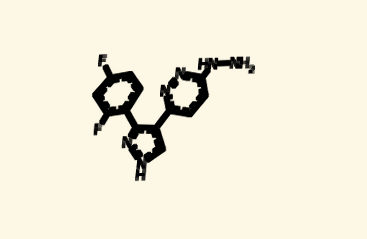 NNc1ccc(-c2c[nH]nc2-c2ccc(F)cc2F)nn1